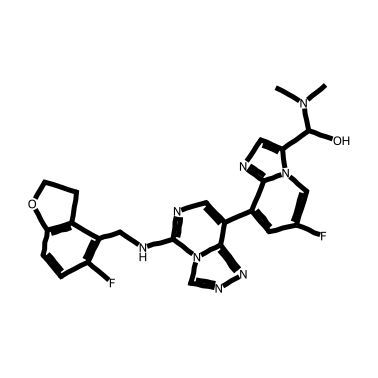 CN(C)C(O)c1cnc2c(-c3cnc(NCc4c(F)ccc5c4CCO5)n4cnnc34)cc(F)cn12